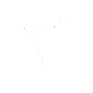 CCN(C)CC1COC(CCCCCCCCCC(=O)OCC(CCC(C)C)C(C)C)(CCCCCCCCCC(=O)OCC(CCC(C)C)C(C)C)O1